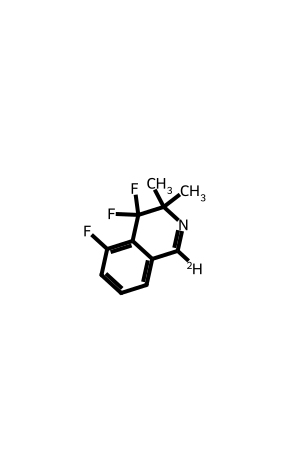 [2H]C1=NC(C)(C)C(F)(F)c2c(F)cccc21